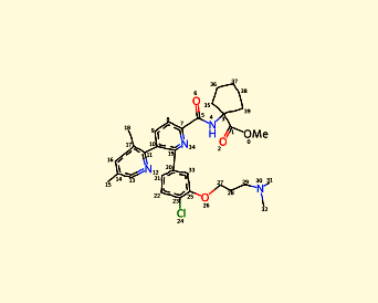 COC(=O)C1(NC(=O)c2ccc(-c3ncc(C)cc3C)c(-c3ccc(Cl)c(OCCCN(C)C)c3)n2)CCCCC1